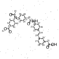 COC(=O)c1ccc(N(C(C)=O)c2ccc(CC(=O)Nc3ccc(C=Cc4cccc(CC(=O)O)c4)cc3)cc2)cc1